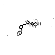 O=c1[nH]cnc2[nH]c(-c3ccnc(/C=C/c4cccc(CN5CCOCC5)c4)c3)cc12